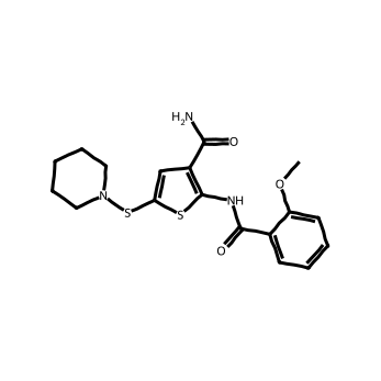 COc1ccccc1C(=O)Nc1sc(SN2CCCCC2)cc1C(N)=O